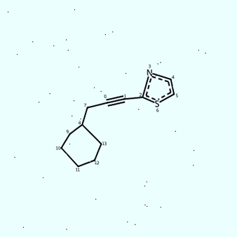 C(#Cc1nccs1)CC1CCCCC1